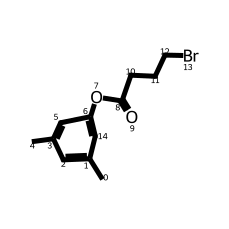 Cc1cc(C)cc(OC(=O)CCCBr)c1